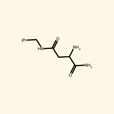 CC(C)CNC(=O)CC(N)C(N)=O